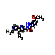 CC(=O)c1ccc2cc(C(=O)NCc3cnc(-c4ccnc(C)c4)c(C)c3)nn2c1